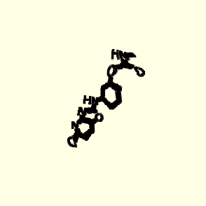 CNC(=O)OC1CCCC(Nc2nc3nc(Cl)ccc3o2)C1